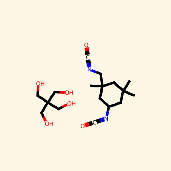 CC1(C)CC(N=C=O)CC(C)(CN=C=O)C1.OCC(CO)(CO)CO